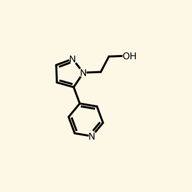 OCCn1nccc1-c1ccncc1